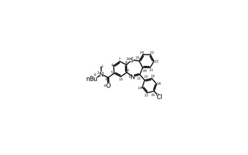 CCCCN(C)C(=O)c1ccc2c(c1)N=C(c1ccc(Cl)cc1)c1ccccc1S2